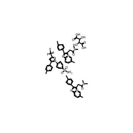 Cc1ccc(-c2cc(C(F)(F)F)nn2-c2ccc(S(N)(=O)=O)cc2)cc1.Cc1ccc(-c2nc3ccc(C)cn3c2CC(=O)N(C)C)cc1.Cc1ccc(-c2nc3ccc(C)cn3c2CC(=O)N(C)C)cc1.O=C(O)C(O)C(O)C(=O)O